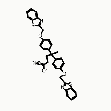 CC(CCC(=O)[O-])(c1ccc(OCc2nc3ccccc3s2)cc1)c1ccc(OCc2nc3ccccc3s2)cc1.[Na+]